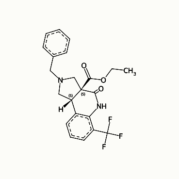 CCOC(=O)[C@]12CN(Cc3ccccc3)C[C@H]1c1cccc(C(F)(F)F)c1NC2=O